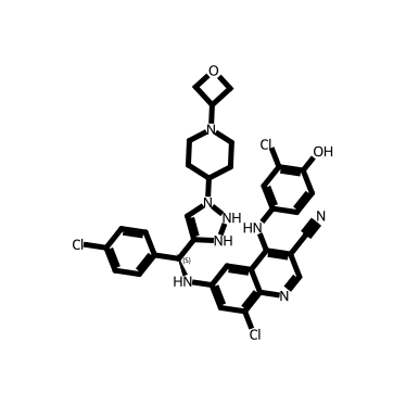 N#Cc1cnc2c(Cl)cc(N[C@H](C3=CN(C4CCN(C5COC5)CC4)NN3)c3ccc(Cl)cc3)cc2c1Nc1ccc(O)c(Cl)c1